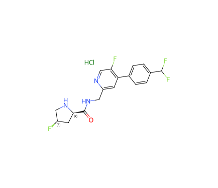 Cl.O=C(NCc1cc(-c2ccc(C(F)F)cc2)c(F)cn1)[C@H]1C[C@@H](F)CN1